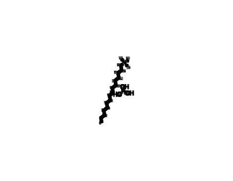 CCCCCCCCCCCCCCCC[N+](C)(C)C.OP(O)O